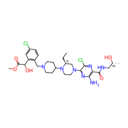 CC[C@H]1CN(c2nc(N)c(C(=O)NC[C@@H](C)O)nc2Cl)CCN1C1CCN(Cc2ccc(Cl)cc2C(O)C(=O)OC)CC1